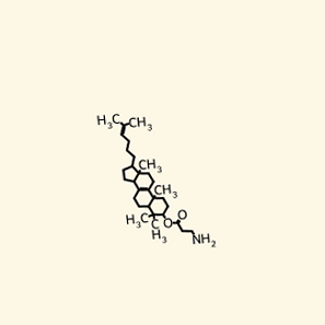 CC(C)=CCCCC1CCC2C3=C(CCC12C)C1(C)CCC(OC(=O)CCN)C(C)(C)C1CC3